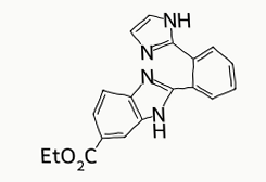 CCOC(=O)c1ccc2nc(-c3ccccc3-c3ncc[nH]3)[nH]c2c1